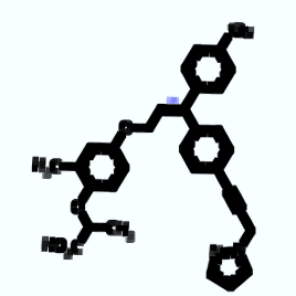 Cc1cc(OC/C=C(\c2ccc(C#CCn3cccn3)cc2)c2ccc(C(C)(C)C)cc2)ccc1OC(C)C(=O)O